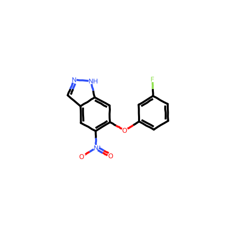 O=[N+]([O-])c1cc2cn[nH]c2cc1Oc1cccc(F)c1